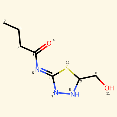 CCCC(=O)N=C1[N]NC(CO)S1